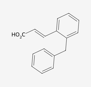 O=C(O)/C=C/c1ccccc1Cc1ccccc1